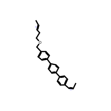 C/C=C\c1ccc(-c2ccc(-c3ccc(COCC/C=C/C)cc3)cc2)cc1